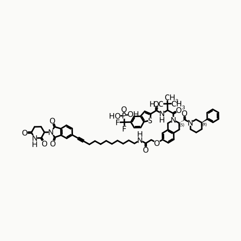 CC(C)(C)C(NC(=O)c1cc2cc(C(F)(F)P(=O)(O)O)ccc2s1)C(=O)N1Cc2cc(OCC(=O)NCCCCCCCCCC#Cc3ccc4c(c3)C(=O)N(C3CCC(=O)NC3=O)C4=O)ccc2C[C@H]1C(=O)N1CCC[C@H](c2ccccc2)C1